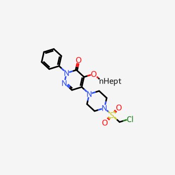 CCCCCCCOc1c(N2CCN(S(=O)(=O)CCl)CC2)cnn(-c2ccccc2)c1=O